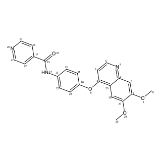 COc1cc2nccc(Oc3ccc(NC(=O)c4ccncc4)cc3)c2cc1OC